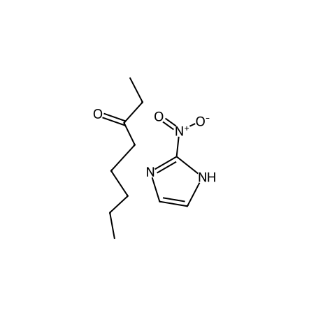 CCCCCC(=O)CC.O=[N+]([O-])c1ncc[nH]1